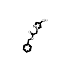 CC(C)(C)c1cnn(CC(=O)OCc2ccccc2)c1